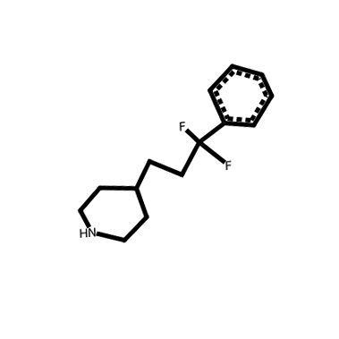 FC(F)(CCC1CCNCC1)c1ccccc1